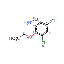 CCN.O=C(O)COc1ccc(Cl)cc1Cl